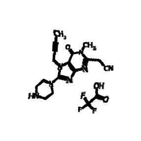 CC#CCn1c(N2CCNCC2)nc2nc(CC#N)n(C)c(=O)c21.O=C(O)C(F)(F)F